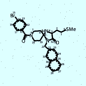 CSCCC1NC2(CCN(C(=O)c3ccc(Br)cc3)CC2)N(Cc2ccc3ccccc3c2)C1=O